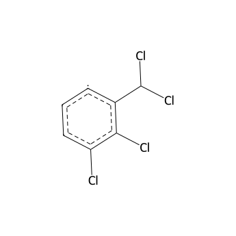 Clc1cc[c]c(C(Cl)Cl)c1Cl